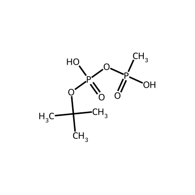 CC(C)(C)OP(=O)(O)OP(C)(=O)O